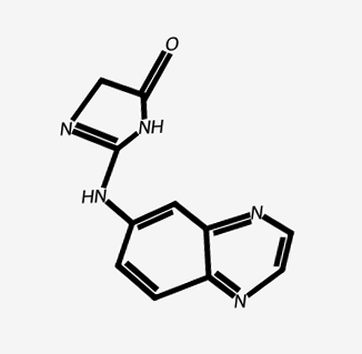 O=C1CN=C(Nc2ccc3nccnc3c2)N1